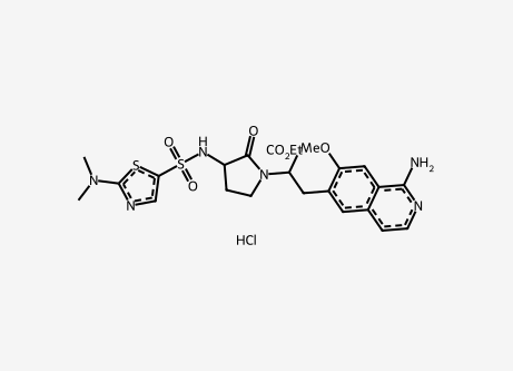 CCOC(=O)C(Cc1cc2ccnc(N)c2cc1OC)N1CCC(NS(=O)(=O)c2cnc(N(C)C)s2)C1=O.Cl